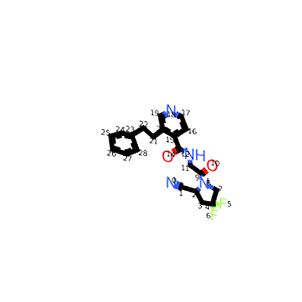 N#CC1CC(F)(F)CN1C(=O)CNC(=O)c1ccncc1CCc1ccccc1